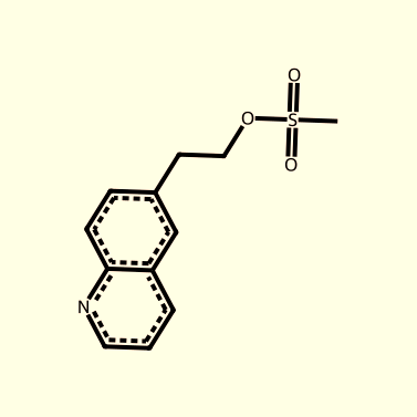 CS(=O)(=O)OCCc1ccc2ncccc2c1